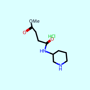 COC(=O)CCC(=O)NC1CCCNC1.Cl